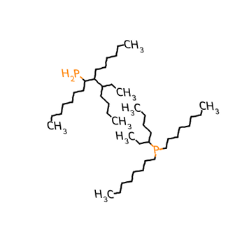 CCCCCCCC(P)C(CCCCCC)C(CC)CCCC.CCCCCCCCP(CCCCCCCC)C(CC)CCCC